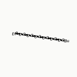 CCOCCOCCOCCOCCOCCOCCOCCOCCOCCOCCOCCOCCOC(C)CC